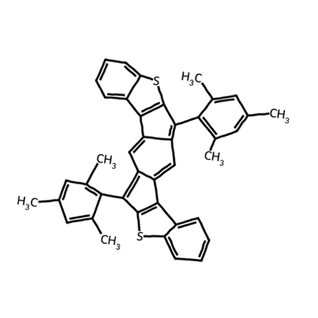 Cc1cc(C)c(C2=c3cc4c(cc3-c3c2sc2ccccc32)=C(c2c(C)cc(C)cc2C)c2sc3ccccc3c2-4)c(C)c1